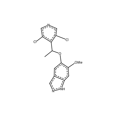 COc1cc2[nH]ncc2cc1OC(C)c1c(Cl)cncc1Cl